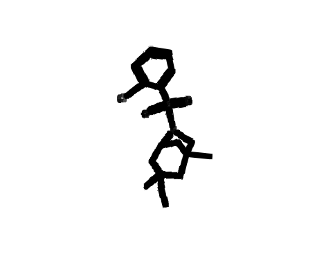 CC1(C)CC2CC(C)(CN2S(=O)(=O)c2ccccc2Cl)C1